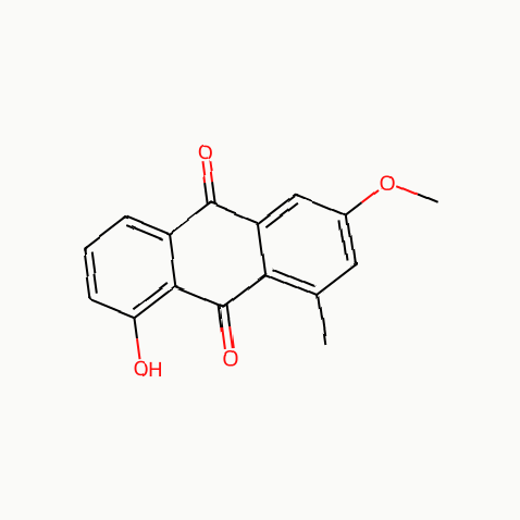 COc1cc(C)c2c(c1)C(=O)c1cccc(O)c1C2=O